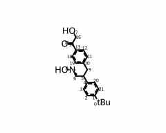 CC(C)(C)c1ccc(C(/C=N/O)Cc2ccc(C(=O)CO)cc2)cc1